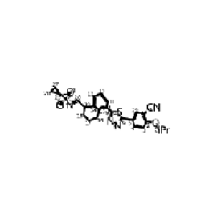 CC(C)Oc1ccc(-c2nnc(-c3cccc4c3CCCC4C=NS(=O)(=O)C3CC3)s2)cc1C#N